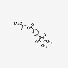 COC(=O)COC(=O)c1ccc(N2C(=O)C(C)C(C)C2=O)cc1